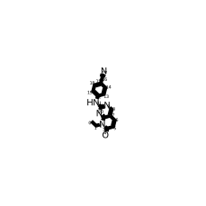 CCn1c(=O)ccc2cnc(Nc3ccc(C#N)cc3)nc21